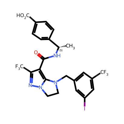 C[C@H](NC(=O)c1c(C(F)(F)F)nn2c1N(Cc1cc(I)cc(C(F)(F)F)c1)CC2)c1ccc(C(=O)O)cc1